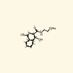 COCCNC(=O)c1nc(Cl)c2ccccc2c1O